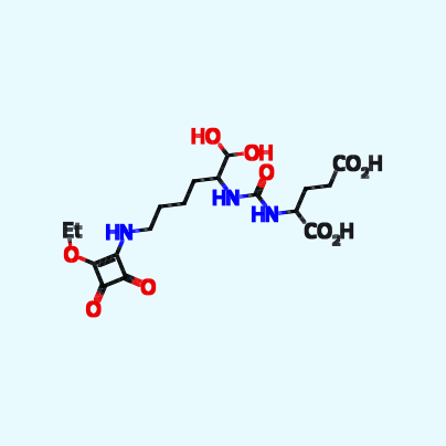 CCOc1c(NCCCCC(NC(=O)NC(CCC(=O)O)C(=O)O)C(O)O)c(=O)c1=O